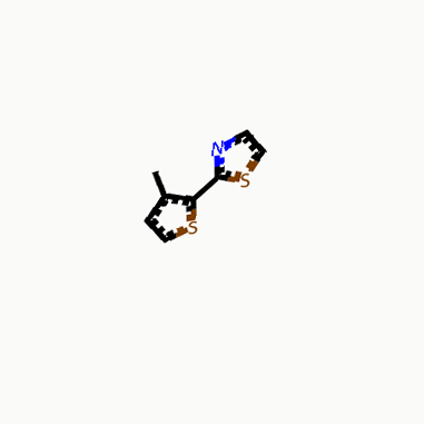 Cc1ccsc1-c1nccs1